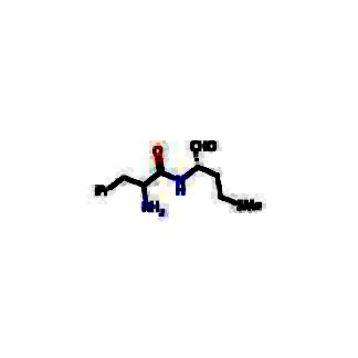 CSCC[C@@H](C=O)NC(=O)C(N)CC(C)C